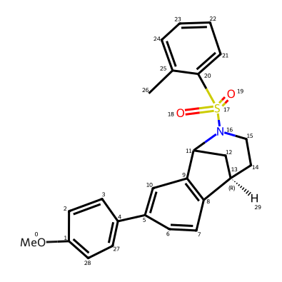 COc1ccc(-c2ccc3c(c2)C2C[C@H]3CCN2S(=O)(=O)c2ccccc2C)cc1